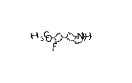 [2H]c1ccc2cc(-c3ccc(OC)c(F)c3)ccc2n1